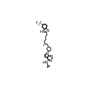 CN(CCCCc1nc2ccc(C(F)(F)F)cc2[nH]1)CC1CC[C@H](n2ccc3c(NC4CC4)ncnc32)C1